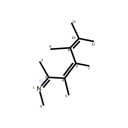 C/N=C(/C)C(C)=C(C)C(C)=C(C)C